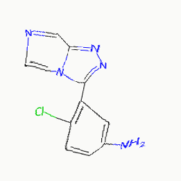 Nc1ccc(Cl)c(-c2nnc3cnccn23)c1